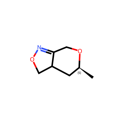 C[C@H]1CC2CON=C2CO1